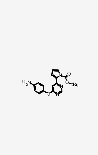 CC(C)(C)OC(=O)n1cccc1-c1cc(Oc2ccc(N)cc2)ncn1